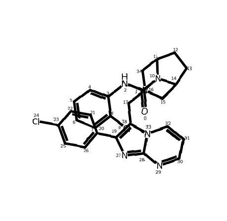 O=C(Nc1ccccc1Cl)N1C2CCC1CN(Cc1c(-c3ccc(Cl)cc3)nc3ncccn13)C2